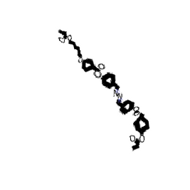 C=CC(=O)OCCCCCCOc1ccc(C(=O)Oc2ccc(/C=N/N=C/c3ccc(OOCc4ccc(OC(=O)C=C)cc4)cc3)cc2)cc1